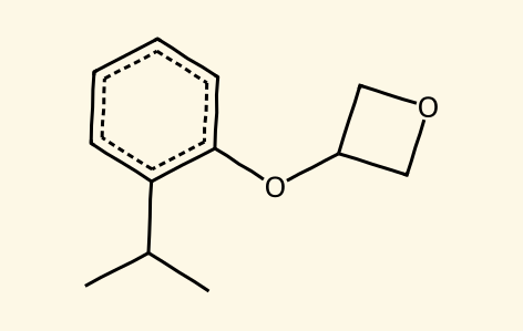 CC(C)c1ccccc1OC1COC1